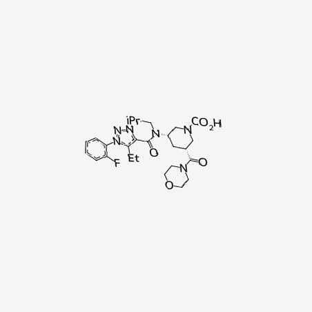 CCc1c(C(=O)N(CC(C)C)[C@H]2C[C@@H](C(=O)N3CCOCC3)CN(C(=O)O)C2)nnn1-c1ccccc1F